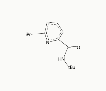 CC(C)c1cccc(C(=O)NC(C)(C)C)n1